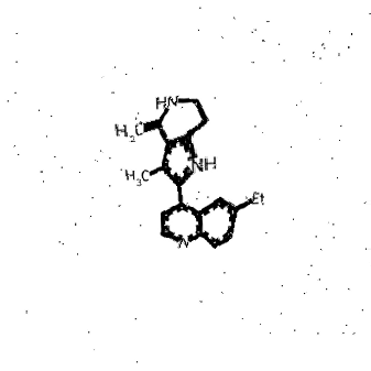 C=C1NCCc2[nH]c(-c3ccnc4ccc(CC)cc34)c(C)c21